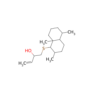 C=CC(O)CSC1C(C)CCC2C(C)CCCC21C